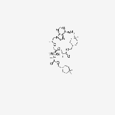 C[C@H](Cn1cnc2c(N)ncnc21)OCP(=O)(NC(C)(C)C(=O)OCC1CCC(C)(C)CC1)NC(C)(C)C(=O)OCC1CCC(C)(C)CC1